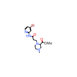 COC(=O)C1CN(C)CCN1CCC(=O)Nc1cc(Br)ccn1